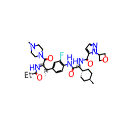 CCC(=O)N[C@@H](C(=O)N1CCN(C)CC1)[C@@H](C)c1ccc(NC(=O)[C@@H](NC(=O)c2ccnn2C2COC2)[C@H]2CC[C@H](C)CC2)c(F)c1